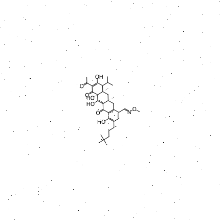 CO/N=C/c1cc(CCCC(C)(C)C)c(O)c2c1C[C@]1(C)C[C@]3(C)C(C(C)C)C(O)=C(C(C)=O)C(=O)[C@]3(O)C(O)=C1C2=O